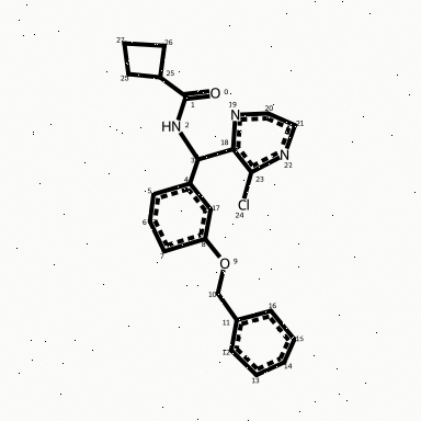 O=C(NC(c1cccc(OCc2ccccc2)c1)c1nccnc1Cl)C1CCC1